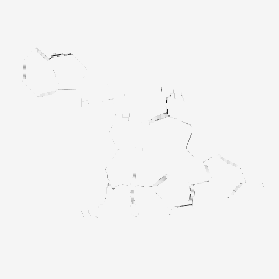 CN(CC(O)CNC(C)(C)CC1Cc2ccccc2C1)S(=O)(=O)c1cc(-c2cc(F)ccc2CCC(=O)O)c(Cl)s1